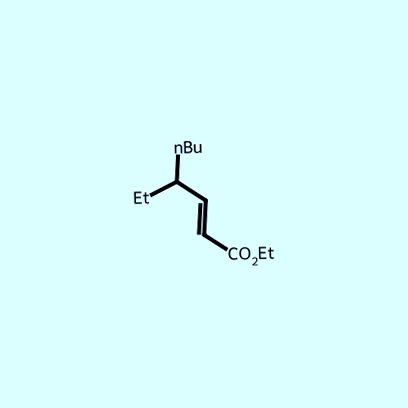 CCCCC(/C=C/C(=O)OCC)CC